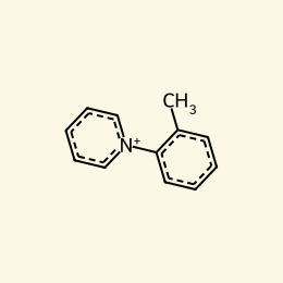 Cc1ccccc1-[n+]1ccccc1